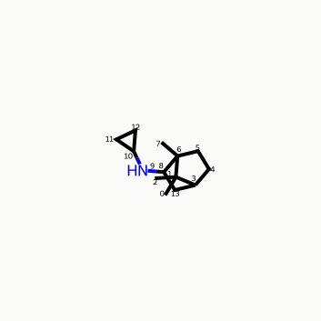 CC1(C)C2CCC1(C)C(NC1CC1)C2